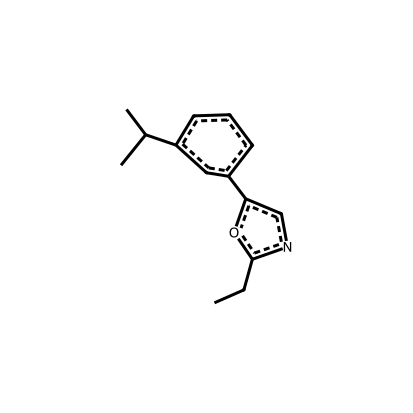 CCc1ncc(-c2cccc(C(C)C)c2)o1